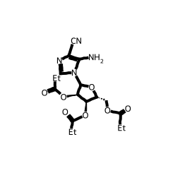 CCC(=O)OC[C@H]1OC(n2cnc(C#N)c2N)[C@H](OC(=O)CC)[C@@H]1OC(=O)CC